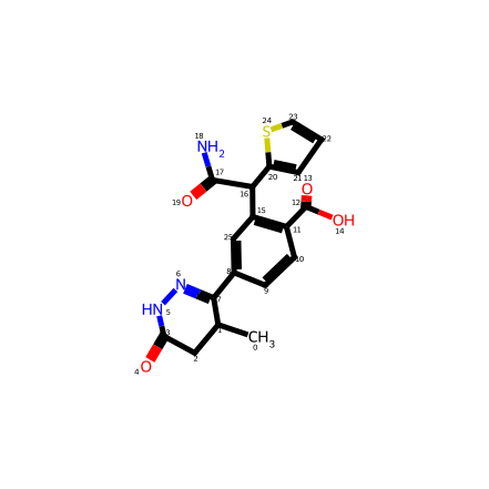 CC1CC(=O)NN=C1c1ccc(C(=O)O)c(C(C(N)=O)c2cccs2)c1